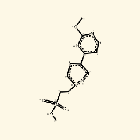 COc1nccc(-c2cc[n+](CCS(=O)(=O)OC)nc2)n1